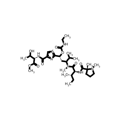 CCNC(=O)O[C@H](CC(C(C)C)N(C)C(=O)[C@@H](NC(=O)[C@@]1(C)CCCN1C)[C@@H](C)CC)c1nc(C(=O)N[C@H](C(=O)OC)C(C)O)cs1